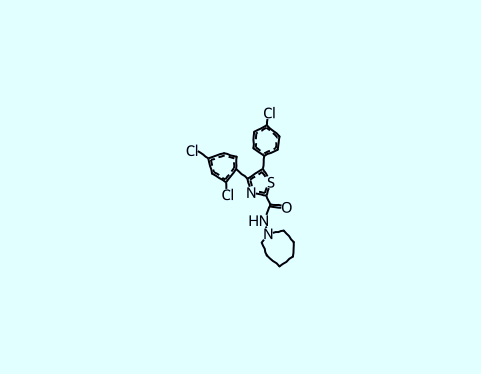 O=C(NN1CCCCCC1)c1nc(-c2ccc(Cl)cc2Cl)c(-c2ccc(Cl)cc2)s1